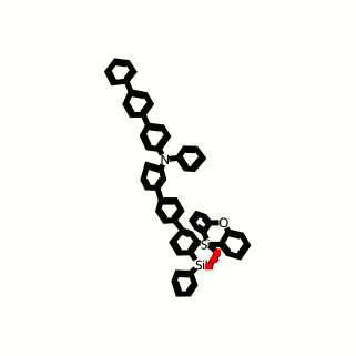 c1ccc(-c2ccc(-c3ccc(N(c4ccccc4)c4cccc(-c5ccc(-c6ccc7c(c6)[Si]6(c8ccccc8Oc8ccccc86)c6ccccc6[SiH]7c6ccccc6)cc5)c4)cc3)cc2)cc1